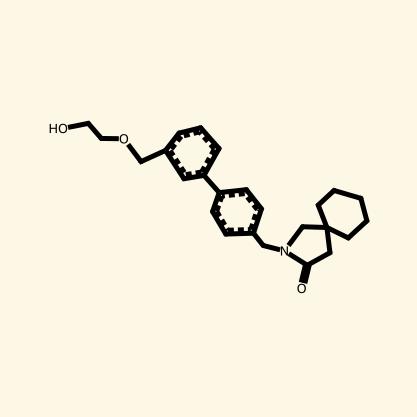 O=C1CC2(CCCCC2)CN1Cc1ccc(-c2cccc(COCCO)c2)cc1